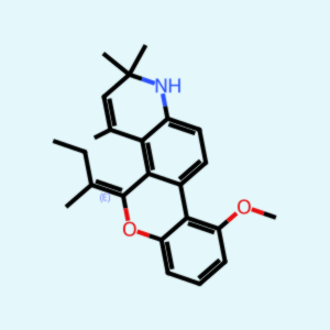 CC/C(C)=C1/Oc2cccc(OC)c2-c2ccc3c(c21)C(C)=CC(C)(C)N3